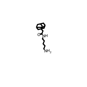 NCCCCCNC(=O)CC12CC3CC(CC(C3)C1)C2